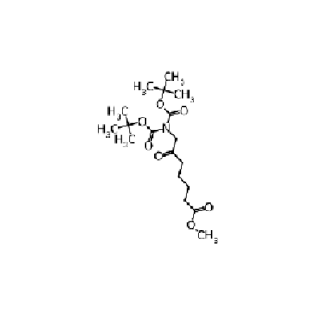 COC(=O)CCCCC(=O)CN(C(=O)OC(C)(C)C)C(=O)OC(C)(C)C